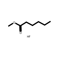 CCCCCC(=O)OC.F